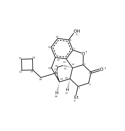 CCC1CC(=O)C2Oc3c(O)ccc4c3[C@@]23CCN(CC2CCC2)[C@H](C4)[C@H]13